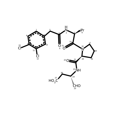 CC(C)[C@H](NC(=O)Cc1ccc(Cl)c(Cl)c1)C(=O)N1CCC[C@H]1C(=O)N[C@H](C=O)CC(=O)O